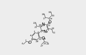 CCOc1ccc(-c2nc(CC)c(OC(CC)CC)nc2CC)c(OC(C)C)c1